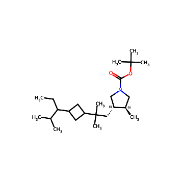 CCC(C(C)C)C1CC(C(C)(C)C[C@@H]2CN(C(=O)OC(C)(C)C)C[C@H]2C)C1